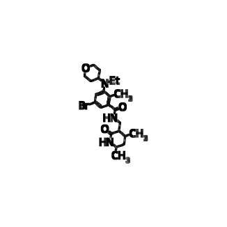 CCN(c1cc(Br)cc(C(=O)NCC2C(=O)NC(C)CC2C)c1C)C1CCOCC1